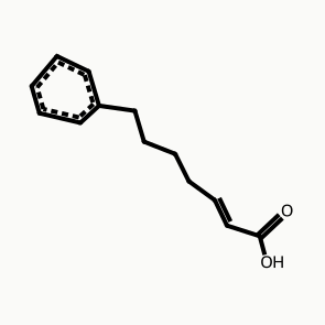 O=C(O)C=CCCCCc1ccccc1